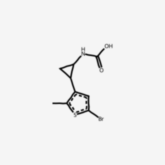 Cc1sc(Br)cc1C1CC1NC(=O)O